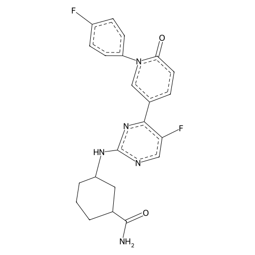 NC(=O)C1CCCC(Nc2ncc(F)c(-c3ccc(=O)n(-c4ccc(F)cc4)c3)n2)C1